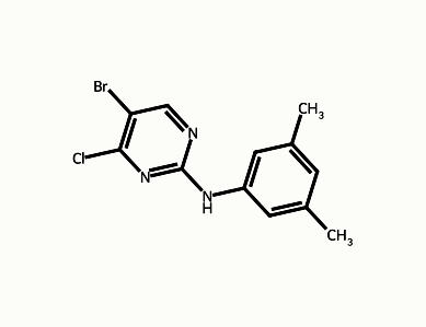 Cc1cc(C)cc(Nc2ncc(Br)c(Cl)n2)c1